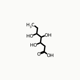 CCC(O)C(O)C(O)CC(=O)O